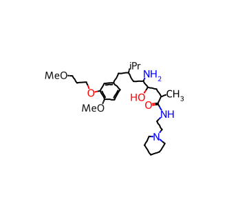 COCCCOc1cc(CC(CC(N)C(O)CC(C)C(=O)NCCN2CCCCC2)C(C)C)ccc1OC